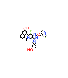 CCc1cccc2cc(O)cc(-c3ncc4c(N5CC6(CCC(O)C6)C5)nc(OC[C@@]56CCCN5C[C@H](F)C6)nc4c3F)c12